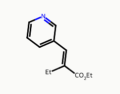 CCOC(=O)C(=Cc1cccnc1)CC